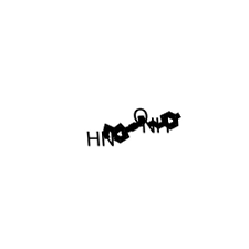 Cc1ccc(CCNC(=O)C#Cc2ccc3[nH]ccc3c2)cc1